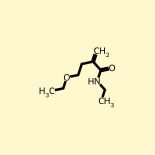 C=C(CCOCC)C(=O)NCC